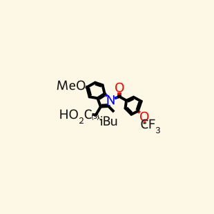 CCC(C)[C@H](C(=O)O)c1c(C)n(C(=O)c2ccc(OC(F)(F)F)cc2)c2ccc(OC)cc12